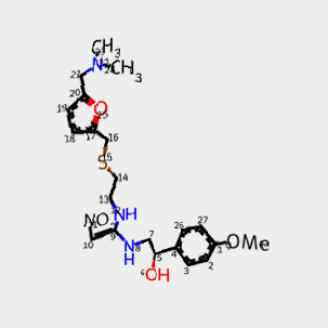 COc1ccc(C(O)CNC(=C[N+](=O)[O-])NCCSCc2ccc(CN(C)C)o2)cc1